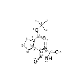 CC(C)(C)OC(=O)N1CCC[C@@H]1[C@H]1NC(=O)NC1=O